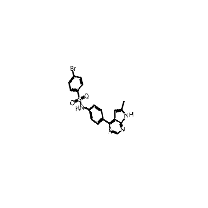 Cc1cc2c(-c3ccc(NS(=O)(=O)c4ccc(Br)cc4)cc3)ncnc2[nH]1